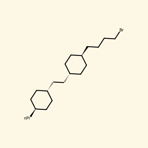 CCC[C@H]1CC[C@H](CC[C@H]2CC[C@H](CCCCBr)CC2)CC1